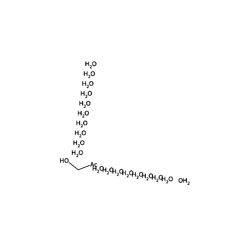 CC(=O)CO.O.O.O.O.O.O.O.O.O.O.O.O.O.O.O.O.O.O.O